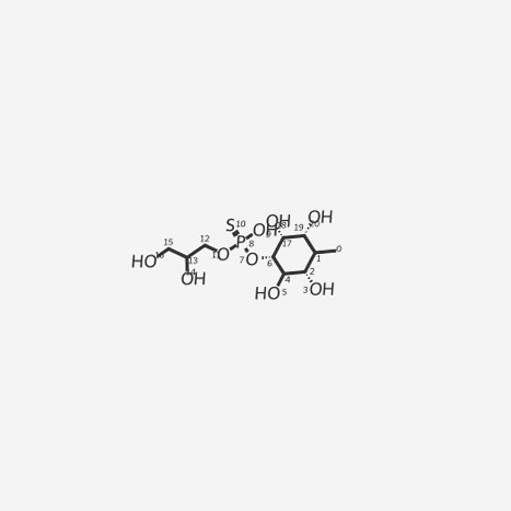 CC1[C@H](O)C(O)[C@H](OP(O)(=S)OCC(O)CO)[C@H](O)[C@@H]1O